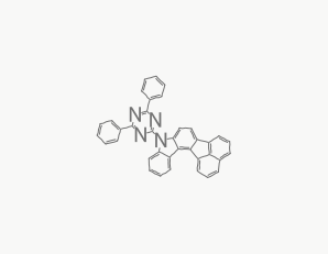 c1ccc(-c2nc(-c3ccccc3)nc(-n3c4ccccc4c4c5c(ccc43)-c3cccc4cccc-5c34)n2)cc1